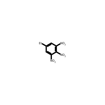 [CH2]Cc1cc([N+](=O)[O-])c([N+](=O)[O-])c([N+](=O)[O-])c1